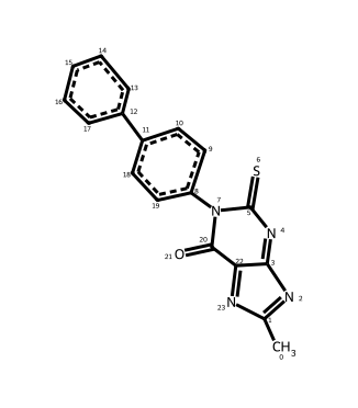 CC1=NC2=NC(=S)N(c3ccc(-c4ccccc4)cc3)C(=O)C2=N1